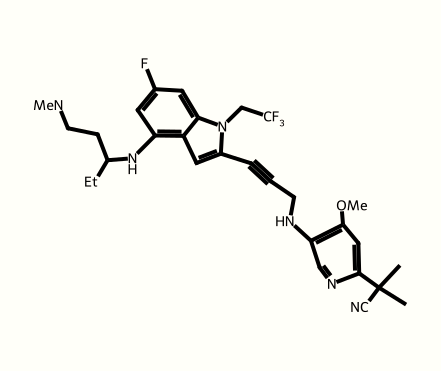 CCC(CCNC)Nc1cc(F)cc2c1cc(C#CCNc1cnc(C(C)(C)C#N)cc1OC)n2CC(F)(F)F